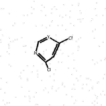 Cl[C]1=CC(Cl)=N[CH]=[Y]1